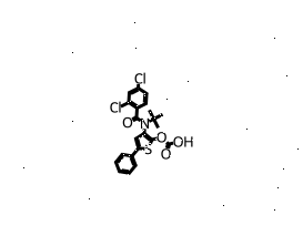 CC(C)(C)N(C(=O)c1ccc(Cl)cc1Cl)c1cc(-c2ccccc2)sc1OC(=O)O